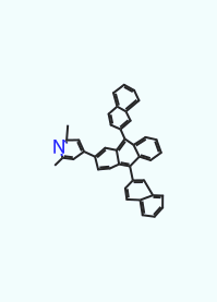 Cc1cc(-c2ccc3c(-c4ccc5ccccc5c4)c4ccccc4c(-c4ccc5ccccc5c4)c3c2)cc(C)n1